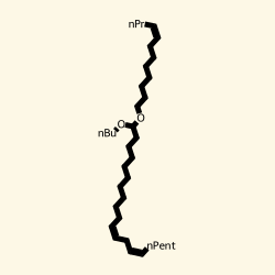 CCC/C=C\CCCCCCCOC(CCCCCCCCC/C=C\C/C=C\CCCCC)OCCCC